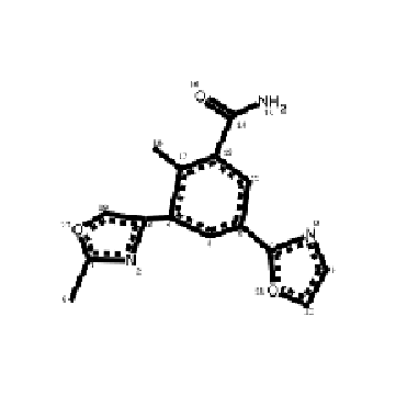 Cc1nc(-c2cc(-c3ncco3)cc(C(N)=O)c2C)co1